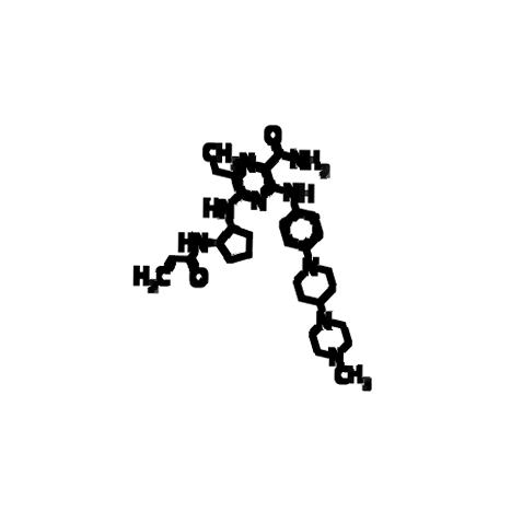 C=CC(=O)N[C@@H]1CCC[C@@H]1Nc1nc(Nc2ccc(N3CCC(N4CCN(C)CC4)CC3)cc2)c(C(N)=O)nc1CC